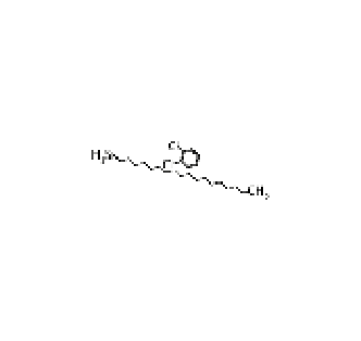 CCCCCCCCCCCCCCCCCC[SiH3].Clc1ccccc1Cl